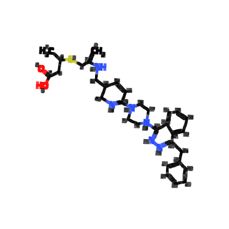 C=C(CSC(C)CC(=O)O)NCC1C=CC(N2CCN(c3nnc(Cc4ccccc4)c4ccccc34)CC2)=NC1